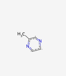 Cc1[c]n[c][c]n1